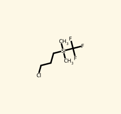 C[Si](C)(CCCCl)C(F)(F)F